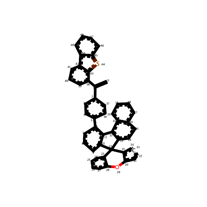 C=C(c1ccc(-c2cccc3c2-c2c(ccc4ccccc24)C32c3ccccc3Oc3ccccc32)cc1)c1cccc2c1sc1ccccc12